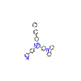 c1ccc(-c2ccc(-c3ccc(-c4nc(-c5ccc(-c6cccnc6)cc5)cc(-c5ccc(-n6c7ccccc7c7ccccc76)cc5)n4)cc3)cc2)cc1